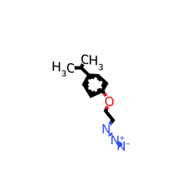 CC(C)c1ccc(OCCN=[N+]=[N-])cc1